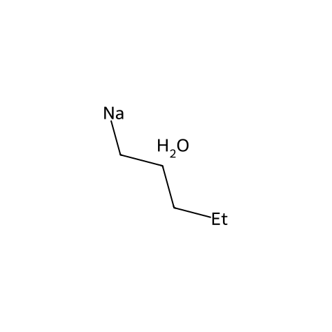 CCCC[CH2][Na].O